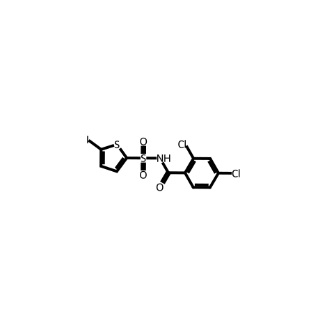 O=C(NS(=O)(=O)c1ccc(I)s1)c1ccc(Cl)cc1Cl